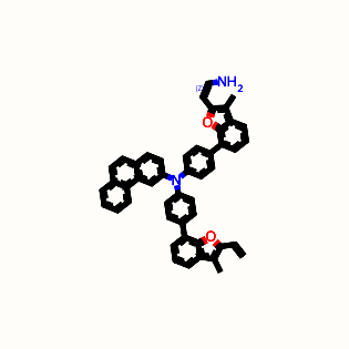 C=Cc1oc2c(-c3ccc(N(c4ccc(-c5cccc6c(C)c(/C=C\N)oc56)cc4)c4ccc5ccc6ccccc6c5c4)cc3)cccc2c1C